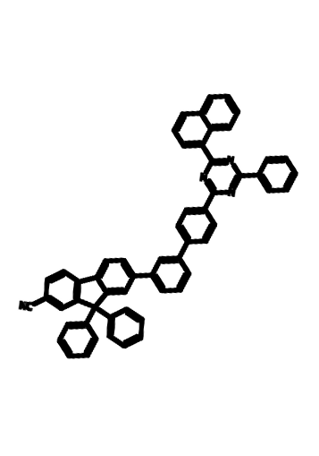 N#Cc1ccc2c(c1)C(c1ccccc1)(c1ccccc1)c1cc(-c3cccc(-c4ccc(-c5nc(-c6ccccc6)nc(-c6cccc7ccccc67)n5)cc4)c3)ccc1-2